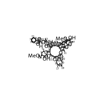 CON=C1C[C@@H](C)O[C@@H](O[C@@H]2[C@@H](C)[C@H](O[C@H]3C[C@H](C)N(C)C[C@H](C)O3)[C@@H](C)C(=O)O[C@H](C(C)CO[C@@H]3O[C@H](C)[C@@H](O)[C@@H](OC)[C@H]3OC)[C@H](C)[C@@H](OC(=O)CC(C)C)[C@@H](C)C(=O)[C@@](C)(OC(=O)NC(C)(C)CNS(=O)(=O)c3ccccc3)C[C@@H]2C)[C@@H]1O